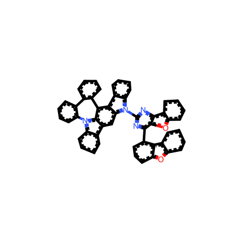 c1ccc2c(c1)-c1ccccc1-n1c3ccccc3c3cc4c(c-2c31)c1ccccc1n4-c1nc(-c2cccc3oc4ccccc4c23)c2oc3ccccc3c2n1